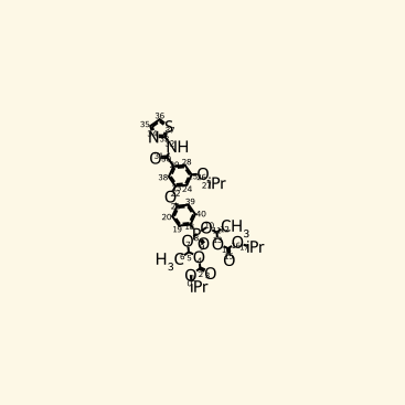 CC(C)OC(=O)OC(C)OP(=O)(OC(C)OC(=O)OC(C)C)c1ccc(Oc2cc(OC(C)C)cc(C(=O)Nc3nccs3)c2)cc1